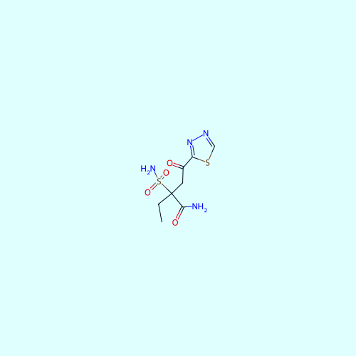 CCC(CC(=O)c1nncs1)(C(N)=O)S(N)(=O)=O